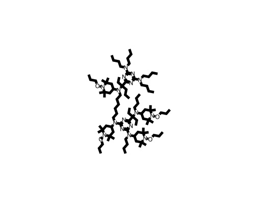 CCCCN(CCCC)c1nc(N(CCCC)CCCC)nc(C(CC)(CCC)N(CCCCCCN(c2nc(N(CCCC)C3CC(C)(C)N(OCCC)C(C)(C)C3)nc(C(CC)(CC)N(CCCC)C3CC(C)(C)N(OCCC)C(C)(C)C3)n2)C2CC(C)(C)N(OCCC)C(C)(C)C2)C2CC(C)(C)N(OCCC)C(C)(C)C2)n1